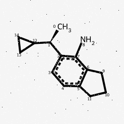 C[C@@H](c1ccc2c(c1N)CCC2)C1CC1